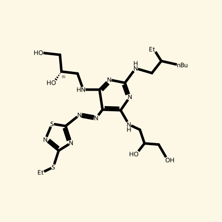 CCCCC(CC)CNc1nc(NCC(O)CO)c(N=Nc2nc(SCC)ns2)c(NC[C@H](O)CO)n1